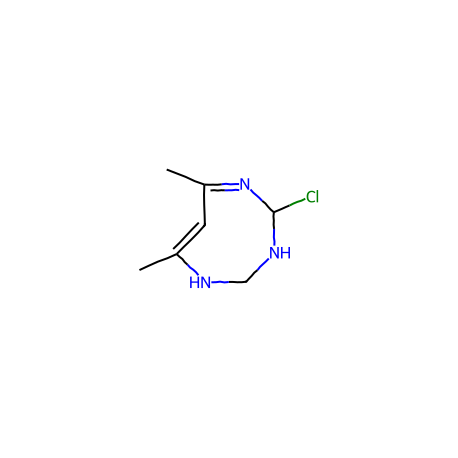 CC1=N/C(Cl)NCN\C(C)=C\1